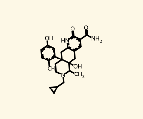 Cc1ccc(O)cc1C12CCN(CC3CC3)C(C)C1(O)Cc1cc(C(N)=O)c(=O)[nH]c1C2